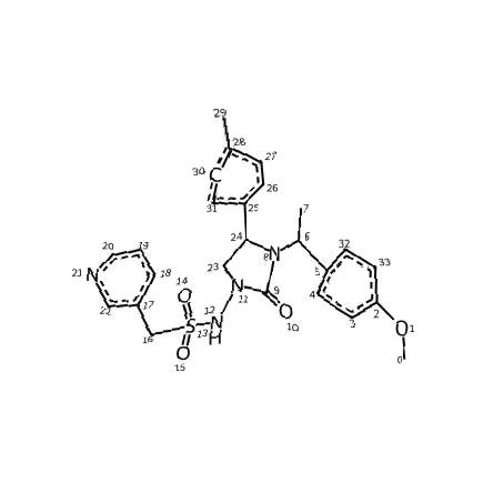 COc1ccc(C(C)N2C(=O)N(NS(=O)(=O)Cc3cccnc3)CC2c2ccc(C)cc2)cc1